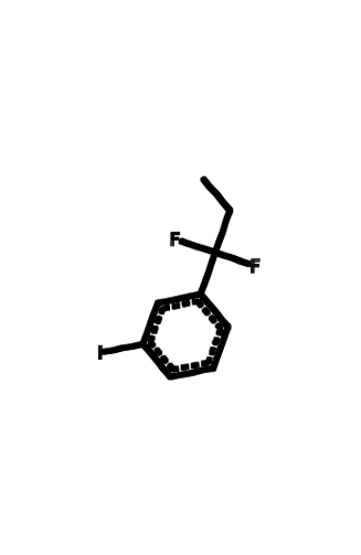 CCC(F)(F)c1cccc(I)c1